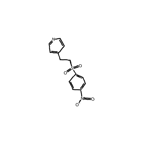 O=[N+]([O-])c1ccc(S(=O)(=O)CCc2ccncc2)cc1